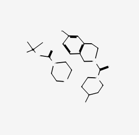 CC(C)(C)OC(=O)N1CCOC[C@H]1c1cc(Cl)cc2c1CN(C(=O)N1CCC(F)CC1)CC2